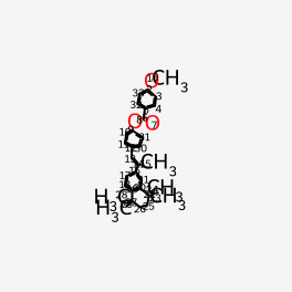 COc1ccc(C(=O)Oc2ccc(C=C(C)c3ccc4c(c3)C(C)(C)CCC4(C)C)cc2)cc1